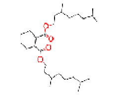 CC(C)CCCC(C)CCOC(=O)C1CCCCC1C(=O)OCCC(C)CCCC(C)C